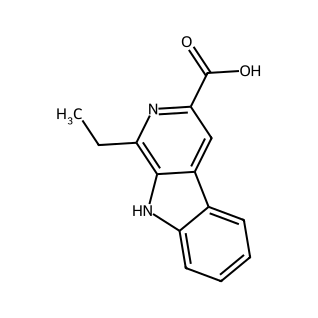 CCc1nc(C(=O)O)cc2c1[nH]c1ccccc12